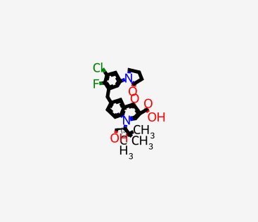 CC(C)(C)[C@@H](CO)n1cc(C(=O)O)c(=O)c2cc(Cc3cc(N4CCCC4=O)cc(Cl)c3F)ccc21